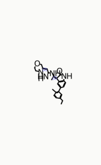 CCc1ccc(C)c(-c2ccc3c(c2)/C(=C(\C)NC(=N)/C=C2/COCCN2)C(=O)N3)c1